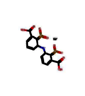 O=C(O)C1=CC=CC([N-]C2C=CC=C(C(=O)O)C2=S(=O)=O)C1=S(=O)=O.[Na+]